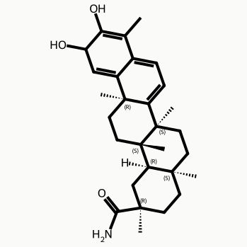 CC1=C(O)C(O)C=C2C1=CC=C1[C@@]2(C)CC[C@@]2(C)[C@@H]3C[C@](C)(C(N)=O)CC[C@]3(C)CC[C@]12C